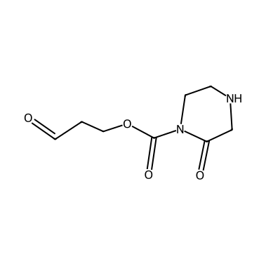 O=CCCOC(=O)N1CCNCC1=O